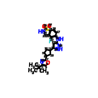 CC(C)(C)c1coc(C2CCC(c3cc(Nc4ccc5c(c4F)CNS5(=O)=O)n[nH]3)C2)n1